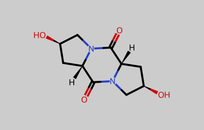 O=C1[C@@H]2C[C@@H](O)CN2C(=O)[C@@H]2C[C@@H](O)CN12